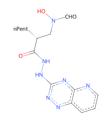 CCCCC[C@H](CN(O)C=O)C(=O)NNc1nnc2cccnc2n1